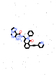 C[C@@H](NC(=O)c1c(N)ncn2ccnc12)c1cc2cccc(C#Cc3cccnc3)c2c(=O)n1-c1ccccc1